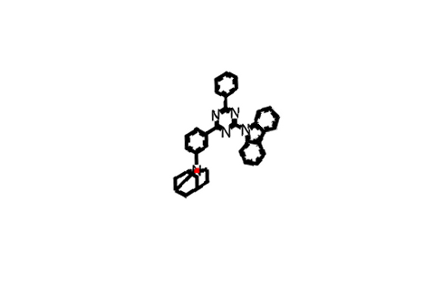 c1ccc(-c2nc(-c3cccc(N4C5CC6CC(C5)CC4C6)c3)nc(-n3c4ccccc4c4ccccc43)n2)cc1